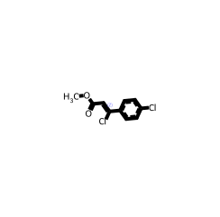 COC(=O)/C=C(\Cl)c1ccc(Cl)cc1